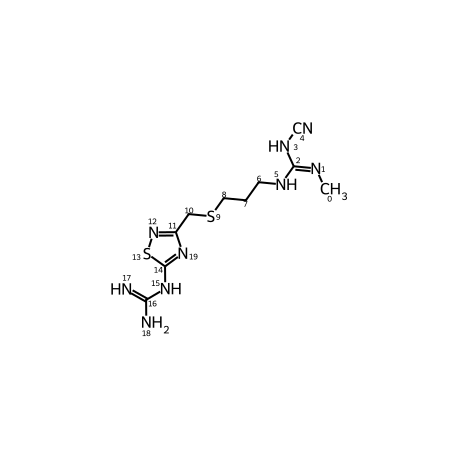 C/N=C(/NC#N)NCCCSCc1nsc(NC(=N)N)n1